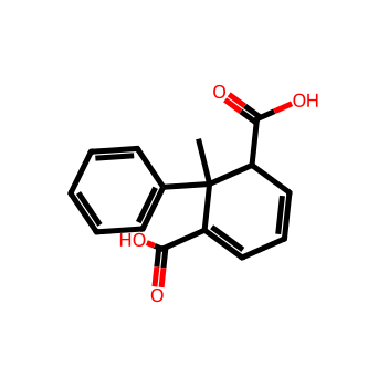 CC1(c2ccccc2)C(C(=O)O)=CC=CC1C(=O)O